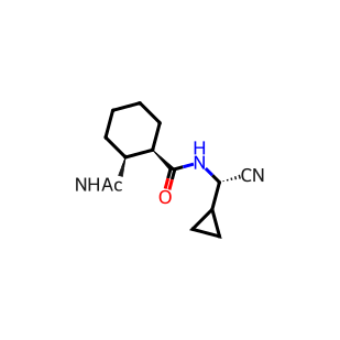 CC(=O)N[C@H]1CCCC[C@H]1C(=O)N[C@H](C#N)C1CC1